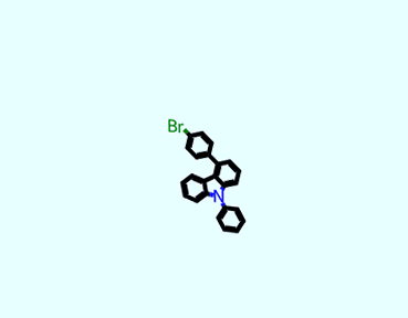 Brc1ccc(-c2cccc3c2c2ccccc2n3-c2ccccc2)cc1